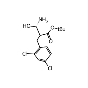 CC(C)(C)OC(=O)C(Cc1ccc(Cl)cc1Cl)[C@@H](N)O